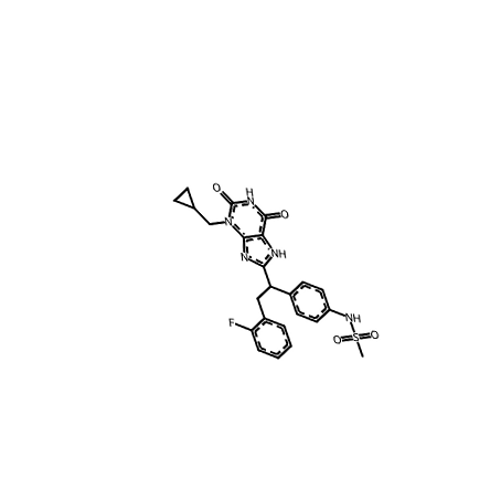 CS(=O)(=O)Nc1ccc(C(Cc2ccccc2F)c2nc3c([nH]2)c(=O)[nH]c(=O)n3CC2CC2)cc1